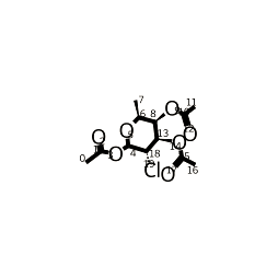 CC(=O)OC1O[C@@H](C)[C@@H](OC(C)=O)[C@@H](OC(C)=O)[C@@H]1Cl